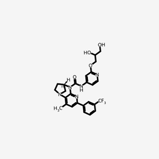 Cc1cc(-c2cccc(C(F)(F)F)c2)nc2c1N1CC[C@@H](C1)N2C(=O)Nc1ccnc(OCC(O)CO)c1